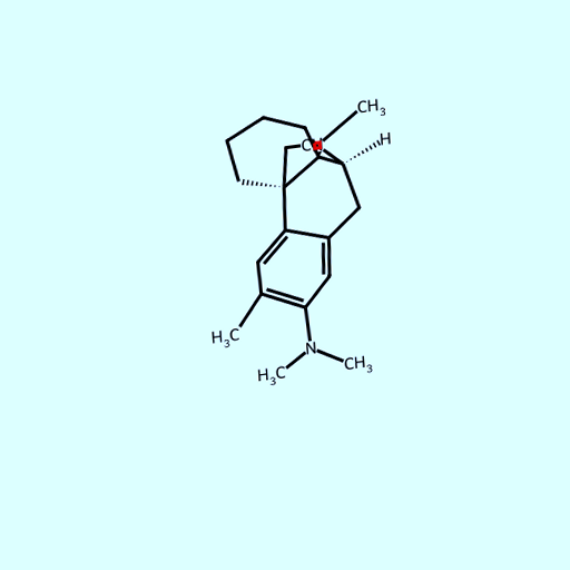 Cc1cc2c(cc1N(C)C)C[C@H]1[C@H]3CCCC[C@@]23CCN1C